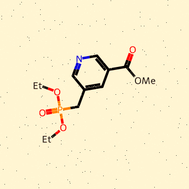 CCOP(=O)(Cc1cncc(C(=O)OC)c1)OCC